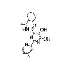 Cc1ccnc(-c2nc(O)c(O)c(C(=O)N[C@@H](C)C3CCCCC3)n2)c1